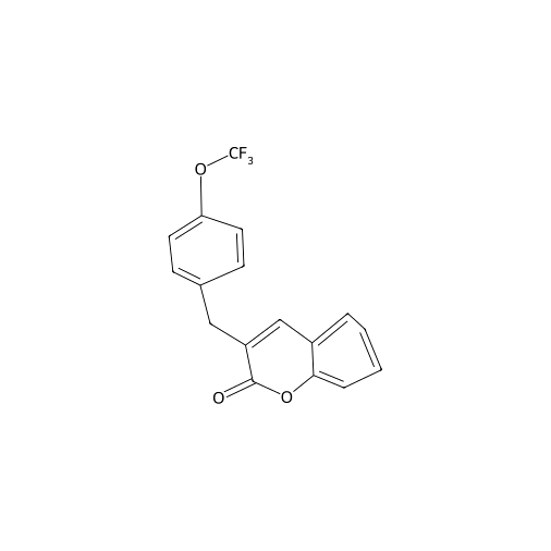 O=c1oc2ccccc2cc1Cc1ccc(OC(F)(F)F)cc1